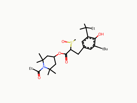 CCC(=O)N1C(C)(C)CC(OC(=O)C(Cc2cc(C(C)(C)C)c(O)c(C(C)(C)CC)c2)[S+](C)[O-])CC1(C)C